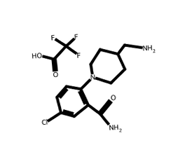 NCC1CCN(c2ccc(Cl)cc2C(N)=O)CC1.O=C(O)C(F)(F)F